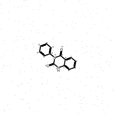 O=c1[nH]c2ccccc2c(=O)n1-c1cc[c]cc1